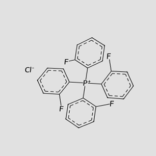 Fc1ccccc1[P+](c1ccccc1F)(c1ccccc1F)c1ccccc1F.[Cl-]